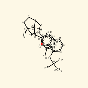 Cc1cc(N2CC3CC[C@@H](C2)[C@@H]3Nc2nc3c(OC(F)(F)C(F)(F)F)cccn3n2)ncn1